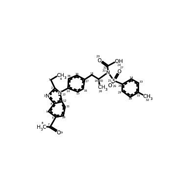 CCc1nc2cc(C(C)=O)ccc2n1-c1ccc(C[C@H](C)N(C(=O)O)S(=O)(=O)c2ccc(C)cc2)cc1